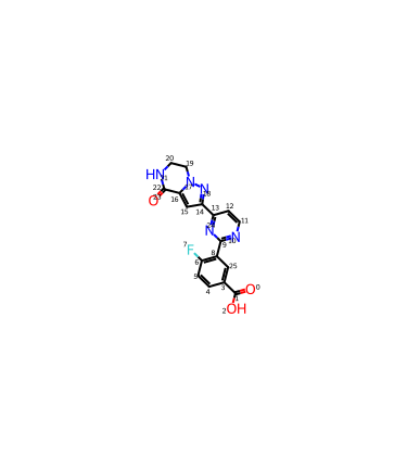 O=C(O)c1ccc(F)c(-c2nccc(-c3cc4n(n3)CCNC4=O)n2)c1